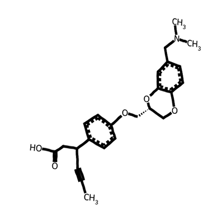 CC#CC(CC(=O)O)c1ccc(OC[C@H]2COc3ccc(CN(C)C)cc3O2)cc1